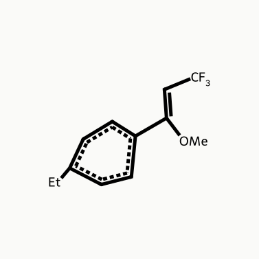 CCc1ccc(C(=CC(F)(F)F)OC)cc1